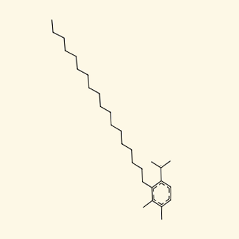 CCCCCCCCCCCCCCCCCCc1c([C](C)C)ccc(C)c1C